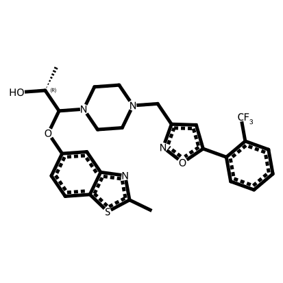 Cc1nc2cc(OC([C@@H](C)O)N3CCN(Cc4cc(-c5ccccc5C(F)(F)F)on4)CC3)ccc2s1